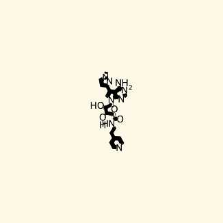 Cn1ccc(-c2cn([C@@H]3O[C@H](C(=O)NCCc4ccncc4)[C@@H](O)[C@H]3O)c3ncnc(N)c23)n1